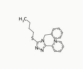 CCCCSc1nnc(-c2ccccn2)n1Cc1ccccc1